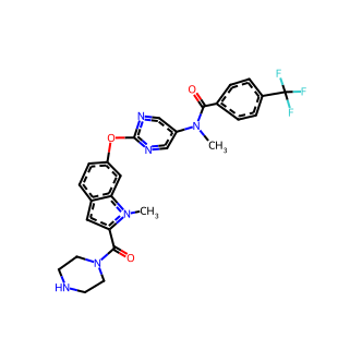 CN(C(=O)c1ccc(C(F)(F)F)cc1)c1cnc(Oc2ccc3cc(C(=O)N4CCNCC4)n(C)c3c2)nc1